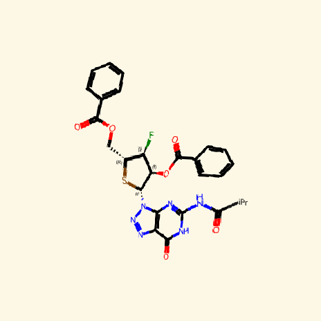 CC(C)C(=O)Nc1nc2c(nnn2[C@@H]2S[C@H](COC(=O)c3ccccc3)[C@@H](F)[C@H]2OC(=O)c2ccccc2)c(=O)[nH]1